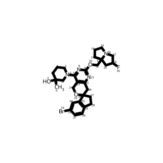 CC1(O)CCCN(c2nc(OCC34CCCN3CC(F)C4)nc3c2COC2(CCc4ccc(Br)cc42)C3)C1